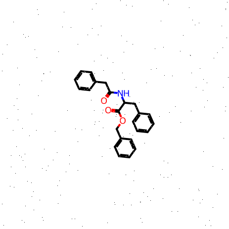 O=C(Cc1ccccc1)NC(Cc1ccccc1)C(=O)OCc1ccccc1